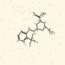 COC1CC(COc2cccnc2C(F)(F)F)CN(C(=O)O)C1